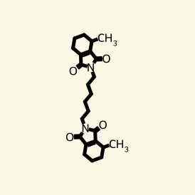 CC1CCCC2=C1C(=O)N(CCCCCCN1C(=O)C3=C(C1=O)C(C)CCC3)C2=O